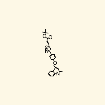 Cc1cc(COc2ccc(C3=NOC(/C=C/C(=O)OC(C)(C)C)C3)cc2)c2ccccc2n1